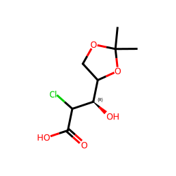 CC1(C)OCC([C@@H](O)C(Cl)C(=O)O)O1